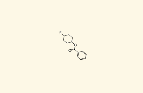 O=C(OC1CCC(F)CC1)c1ccccc1